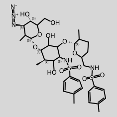 Cc1ccc(S(=O)(=O)NCC2CCC(C)[C@@H](OC3C(O)[C@@H](O[C@H]4OC(CO)[C@@H](O)[C@H](N=[N+]=[N-])C4C)[C@H](C)C(O)[C@@H]3NS(=O)(=O)c3ccc(C)cc3)O2)cc1